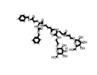 O=C(CC[C@H](NC(=O)CCCNC(=O)[C@H](CCC(=O)OCc1ccccc1)NC(=O)OCc1ccccc1)C(=O)NCCO[C@H]1O[C@H](CO)[C@@H](O)[C@H](O)[C@@H]1O)NCCO[C@H]1O[C@H](CO)[C@@H](O)[C@H](O)[C@@H]1O